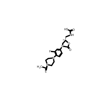 CC(=S)N1CCN(c2ccc(N3C[C@H](CNC(=O)S)OC3=O)cc2F)CC1